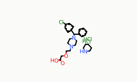 C1CCNCC1.Cl.Cl.O=C(O)COCCN1CCN(C(c2ccccc2)c2ccc(Cl)cc2)CC1